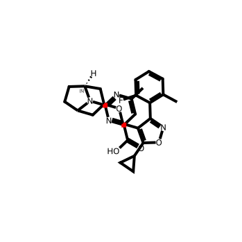 Cc1cc(C(=O)O)nc(N2C3CC[C@H]2CC(OCc2c(-c4c(C)cccc4F)noc2C2CC2)C3)n1